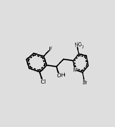 O=[N+]([O-])c1ccc(Br)nc1CC(O)c1c(F)cccc1Cl